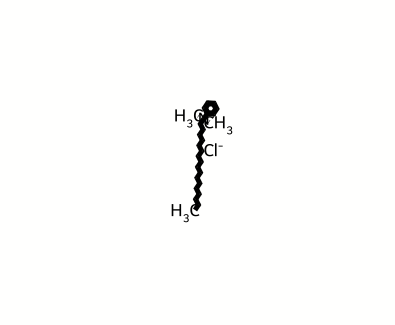 CCCCCCCCCCCCCCCCC[N+](C)(C)c1ccccc1.[Cl-]